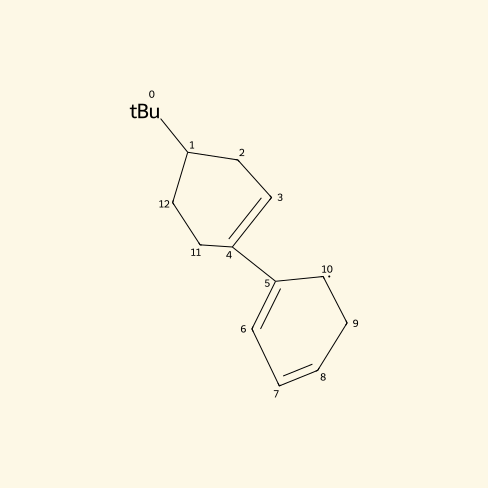 CC(C)(C)C1CC=C(C2=CC=CC[CH]2)CC1